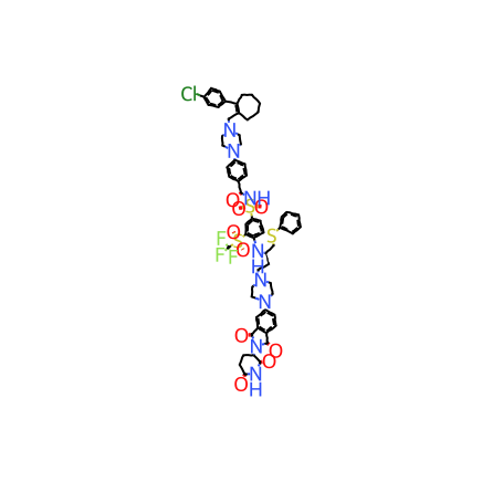 O=C1CCC(N2C(=O)c3ccc(N4CCN(CC[C@H](CSc5ccccc5)Nc5ccc(S(=O)(=O)NC(=O)c6ccc(N7CCN(CC8=C(c9ccc(Cl)cc9)CCCCC8)CC7)cc6)cc5S(=O)(=O)C(F)(F)F)CC4)cc3C2=O)C(=O)N1